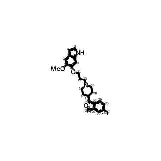 COc1cc2cc[nH]c2cc1OCCCN1CCC(c2onc3cc(F)ccc23)CC1